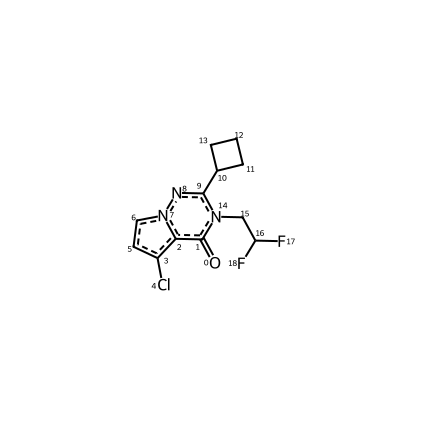 O=c1c2c(Cl)ccn2nc(C2CCC2)n1CC(F)F